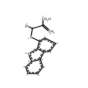 C=C(C(=O)O)C(CC)Sc1cccc2c1sc1ccccc12